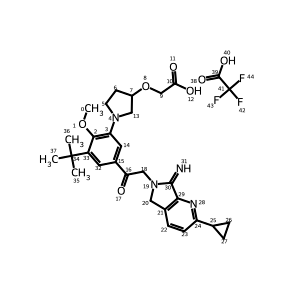 COc1c(N2CCC(OCC(=O)O)C2)cc(C(=O)CN2Cc3ccc(C4CC4)nc3C2=N)cc1C(C)(C)C.O=C(O)C(F)(F)F